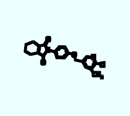 Cc1cc(COc2ccc(N3C(=O)C4=C(CCCC4)C3=O)cc2)cnc1Cl